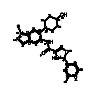 Cc1cc(C2NC(C(=O)Nc3cc4cnn(C)c4cc3N3CCC(O)CC3)=CO2)ccn1